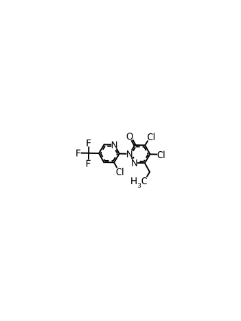 CCc1nn(-c2ncc(C(F)(F)F)cc2Cl)c(=O)c(Cl)c1Cl